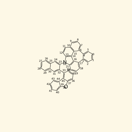 c1ccc2c(c1)-c1cccc3ccc4c(c13)c1c-2cccc1n4-c1cc2ccccc2cc1-c1cccc2oc3ccccc3c12